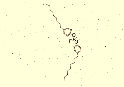 CCCCCCCCCc1ccc(OP(F)Oc2ccc(CCCCCCCCC)cc2)cc1